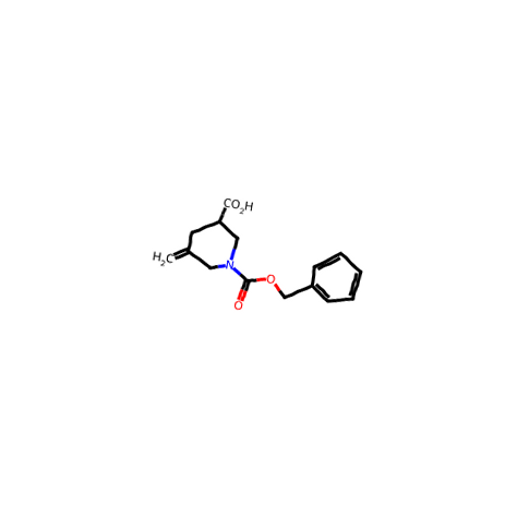 C=C1CC(C(=O)O)CN(C(=O)OCc2ccccc2)C1